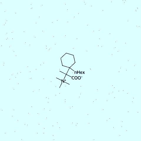 CCCCCCC1(C(C)(C(=O)[O-])[N+](C)(C)C)CCCCC1